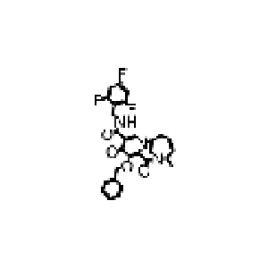 CC1C=CCC2CN1C(=O)c1c(OCc3ccccc3)c(=O)c(C(=O)NCc3c(F)cc(F)cc3F)cn12